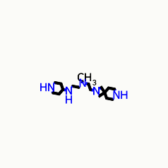 CN(CCNC1CCNCC1)CCN1CC2(CCNCC2)C1